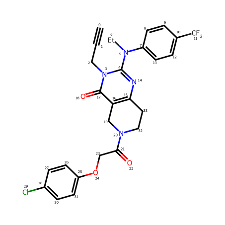 C#CCn1c(N(CC)c2ccc(C(F)(F)F)cc2)nc2c(c1=O)CN(C(=O)COc1ccc(Cl)cc1)CC2